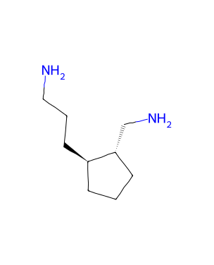 NCCC[C@@H]1CCC[C@H]1CN